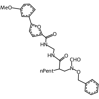 CCCCCC(CN(C=O)OCc1ccccc1)C(=O)NCNC(=O)c1ccc(-c2cccc(OC)c2)o1